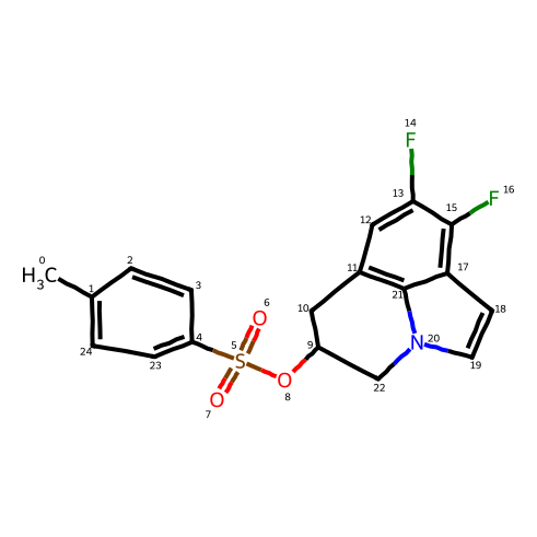 Cc1ccc(S(=O)(=O)OC2Cc3cc(F)c(F)c4ccn(c34)C2)cc1